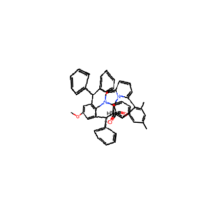 COc1cc(C(c2ccccc2)c2ccccc2)c(N2C=C3C=CC=C(c4c(C)cc(C)cc4C)N3C2[SeH](=O)=O)c(C(c2ccccc2)c2ccccc2)c1